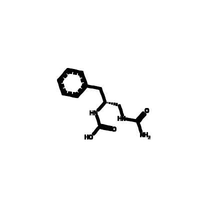 NC(=O)NC[C@@H](Cc1ccccc1)NC(=O)O